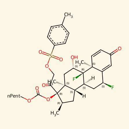 CCCCCOC(=O)O[C@]1(C(=O)COS(=O)(=O)c2ccc(C)cc2)[C@H](C)C[C@H]2[C@@H]3C[C@H](F)C4=CC(=O)C=C[C@]4(C)[C@@]3(F)[C@@H](O)C[C@@]21C